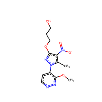 COc1nnccc1-n1nc(OCCCO)c([N+](=O)[O-])c1C